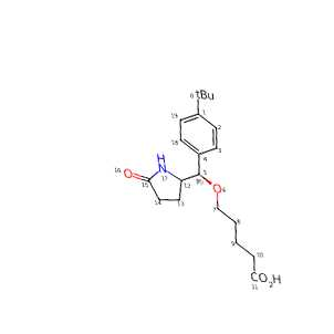 CC(C)(C)c1ccc([C@@H](OCCCCC(=O)O)C2CCC(=O)N2)cc1